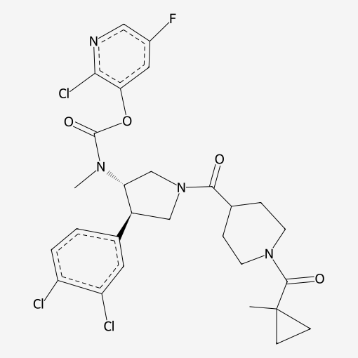 CN(C(=O)Oc1cc(F)cnc1Cl)[C@@H]1CN(C(=O)C2CCN(C(=O)C3(C)CC3)CC2)C[C@H]1c1ccc(Cl)c(Cl)c1